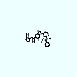 C[C@H](Nc1nccc(-n2cnc3cc(NCC4CCCN4)ccc32)n1)c1ccccc1